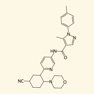 Cc1ccc(-n2ncc(C(=O)Nc3ccc(C4CC(C#N)CCC4N4CCOCC4)nc3)c2C)cc1